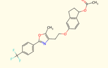 CC(=O)OC1CCc2cc(OCCc3nc(-c4ccc(C(F)(F)F)cc4)oc3C)ccc21